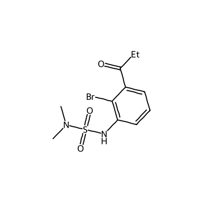 CCC(=O)c1cccc(NS(=O)(=O)N(C)C)c1Br